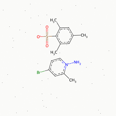 Cc1cc(Br)cc[n+]1N.Cc1cc(C)c(S(=O)(=O)[O-])c(C)c1